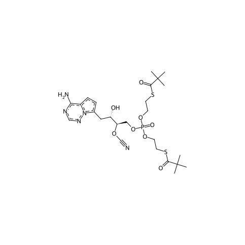 CC(C)(C)C(=O)SCCOP(=O)(OCCSC(=O)C(C)(C)C)OC[C@@H](OC#N)[C@@H](O)Cc1ccc2c(N)ncnn12